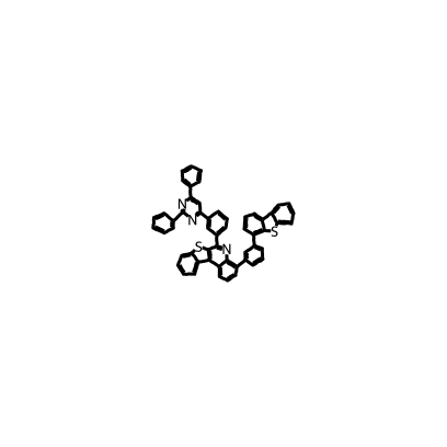 c1ccc(-c2cc(-c3cccc(-c4nc5c(-c6cccc(-c7cccc8c7sc7ccccc78)c6)cccc5c5c4sc4ccccc45)c3)nc(-c3ccccc3)n2)cc1